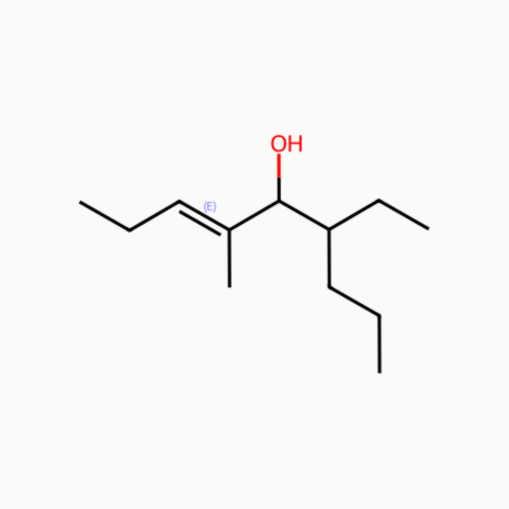 CC/C=C(\C)C(O)C(CC)CCC